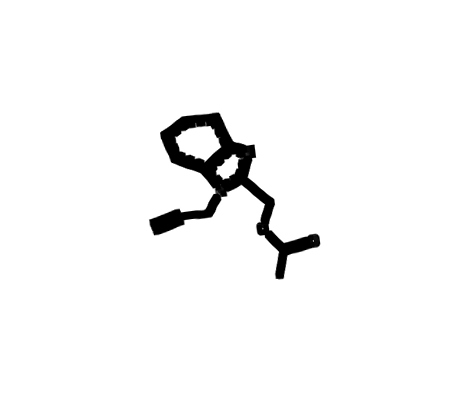 C#CCn1c(COC(C)=O)nc2ccccc21